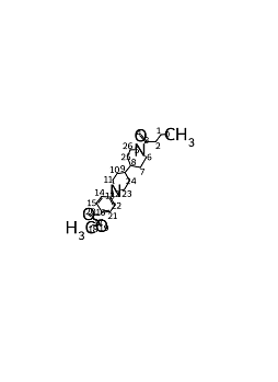 CCCC(=O)N1CCC(C2CCN(c3ccc(S(C)(=O)=O)cc3)CC2)CC1